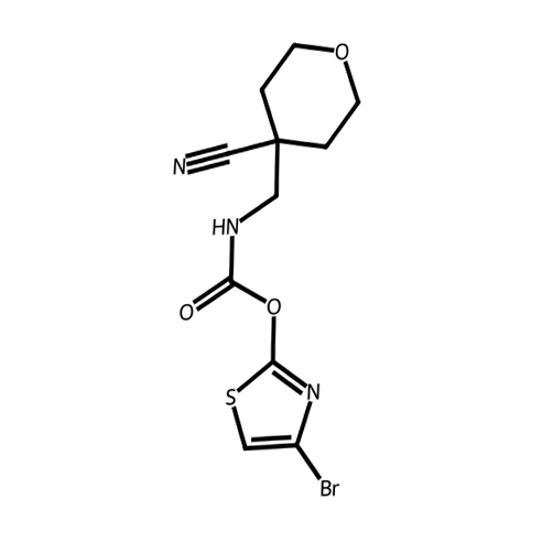 N#CC1(CNC(=O)Oc2nc(Br)cs2)CCOCC1